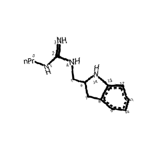 CCCNC(=N)NCC1Cc2ccccc2N1